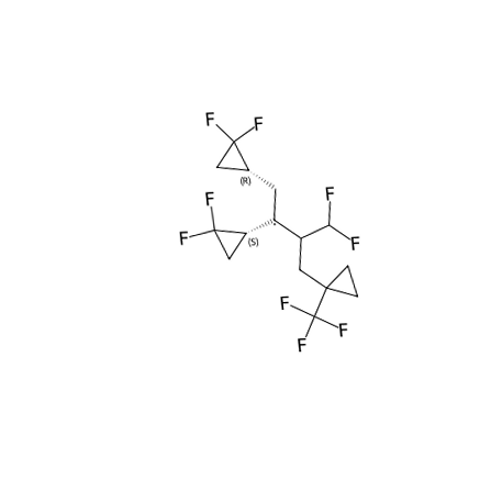 FC(F)C(CC1(C(F)(F)F)CC1)[C](C[C@@H]1CC1(F)F)[C@@H]1CC1(F)F